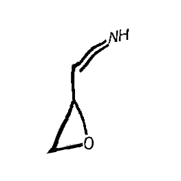 N=CC1CO1